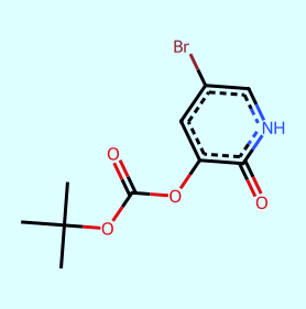 CC(C)(C)OC(=O)Oc1cc(Br)c[nH]c1=O